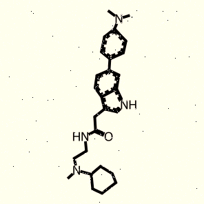 CN(C)c1ccc(-c2ccc3c(CC(=O)NCCN(C)C4CCCCC4)c[nH]c3c2)cc1